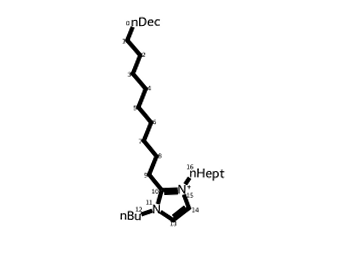 CCCCCCCCCCCCCCCCCCCc1n(CCCC)cc[n+]1CCCCCCC